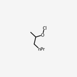 CCCCC(C)OCl